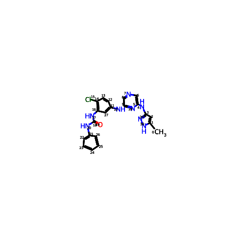 Cc1cc(Nc2cncc(Nc3ccc(Cl)c(NC(=O)Nc4ccccc4)c3)n2)n[nH]1